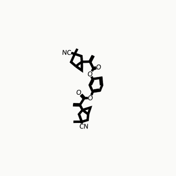 C=C(C(=O)Oc1cccc(OC(=O)C(=C)C23CC2CC(C)(C#N)C3)c1)C12CC1CC(C)(C#N)C2